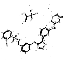 O=C(O)C(F)(F)F.O=S(=O)(NCc1cccc(Oc2ncsc2-c2ccnc(N[C@H]3CCCNC3)n2)c1)c1ccccc1Cl